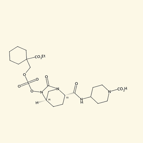 CCOC(=O)C1(COS(=O)(=O)ON2C(=O)N3C[C@H]2CC[C@H]3C(=O)NC2CCN(C(=O)O)CC2)CCCCC1